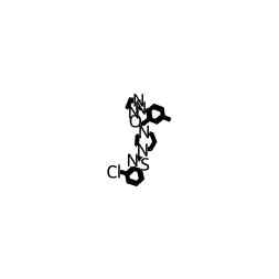 Cc1ccc(-n2nccn2)c(C(=O)N2CCCN(c3nc4c(Cl)cccc4s3)CC2)c1